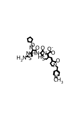 C[n+]1ccc(CN2CC/C(=C\C3=C(C(=O)[O-])N4C(=O)[C@@H](NC(=O)/C(=N\OC5CCCC5)c5csc(N)n5)[C@H]4SC3)C2=O)cc1